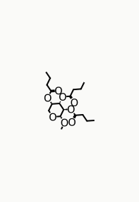 CCCC(=O)O[C@@H]1[C@@H](OC(=O)CCC)[C@@H](OC)OC[C@H]1OC(=O)CCC